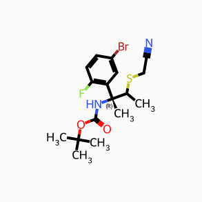 CC(SCC#N)[C@](C)(NC(=O)OC(C)(C)C)c1cc(Br)ccc1F